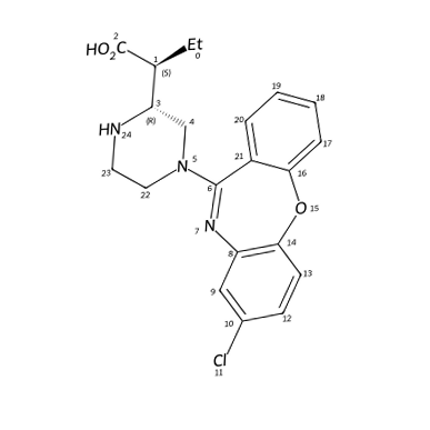 CC[C@H](C(=O)O)[C@@H]1CN(C2=Nc3cc(Cl)ccc3Oc3ccccc32)CCN1